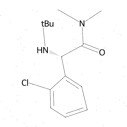 CN(C)C(=O)[C@@H](NC(C)(C)C)c1ccccc1Cl